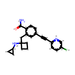 NC(=O)c1ccc(C#Cc2ccc(F)cn2)cc1CC1(NC2CC2)CCC1